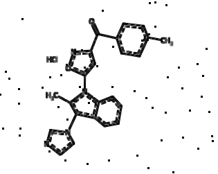 Cc1ccc(C(=O)c2cc(-n3c(C)c(-n4ccnc4)c4ccccc43)on2)cc1.Cl